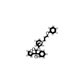 O=C(OC1C[N+]2(CCCOc3ccccc3)CCC1CC2)[C@@](O)(c1ccccc1)c1ccco1